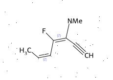 C#C/C(NC)=C(F)\C=C/C